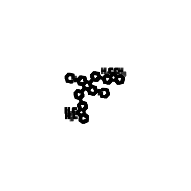 CC1(C)c2ccccc2-c2ccc(-c3cccc(-c4c5ccc(N6CCCCC6)cc5c(-c5cccc(-c6ccc7c(c6)C(C)(C)c6ccccc6-7)c5)c5ccc(N6CCCCC6)cc45)c3)cc21